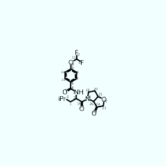 CC(C)CC(NC(=O)c1ccc(OC(F)F)cc1)C(=O)N1CCC2OCC(=O)C21